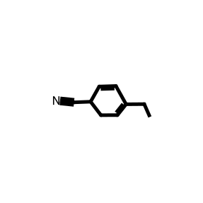 CCC1=CCC(C#N)C=C1